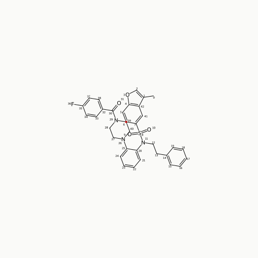 Cc1coc2ccc(S(=O)(=O)N(CCc3ccccc3)c3ccccc3N3CCN(C(=O)c4ccc(F)cc4)CC3)cc12